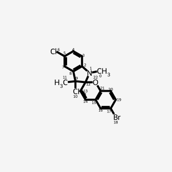 CN1c2ccc(Cl)cc2C(C)(C)C12C=Cc1cc(Br)ccc1O2